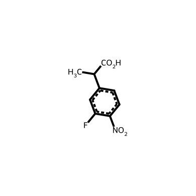 CC(C(=O)O)c1ccc([N+](=O)[O-])c(F)c1